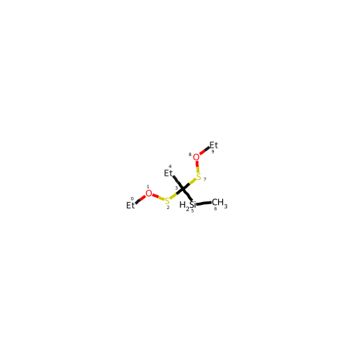 CCOSC(CC)([SiH2]C)SOCC